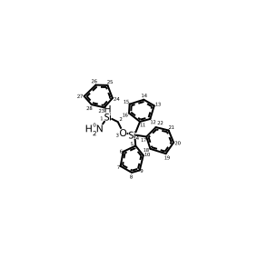 N[SiH](CO[Si](c1ccccc1)(c1ccccc1)c1ccccc1)c1ccccc1